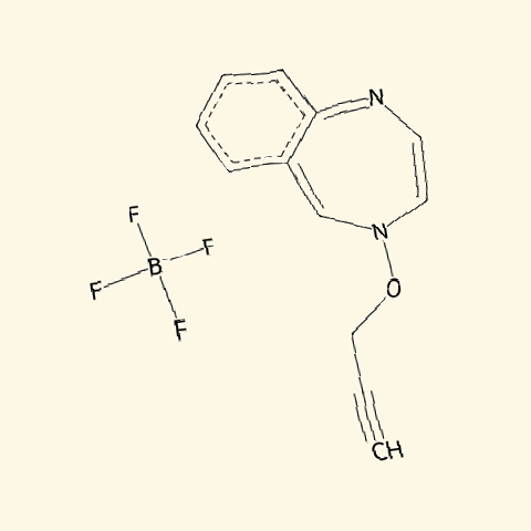 C#CCON1C=CN=c2ccccc2=C1.F[B-](F)(F)F